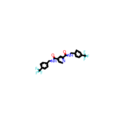 O=C(NCc1ccc(C(F)(F)F)cc1)c1ccnc(C(=O)NCc2ccc(C(F)(F)F)cc2)c1